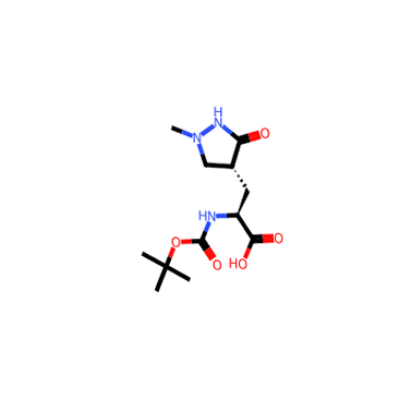 CN1C[C@@H](C[C@H](NC(=O)OC(C)(C)C)C(=O)O)C(=O)N1